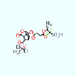 CCC(C)(CC)OC(=O)C1C2CC3C(OC(=O)C31)C2OC(=O)CCC(=O)OC(C)C(F)(F)S(=O)(=O)O